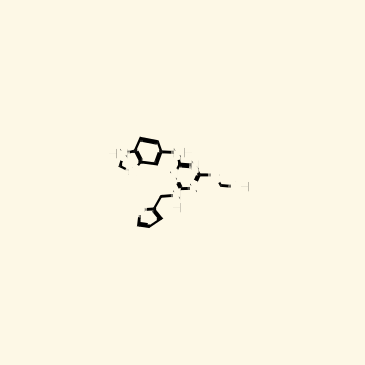 CCOc1nc(NCc2ccco2)nc(Nc2ccc3c(c2)OCN3)n1